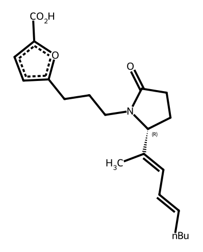 CCCCC=CC=C(C)[C@H]1CCC(=O)N1CCCc1ccc(C(=O)O)o1